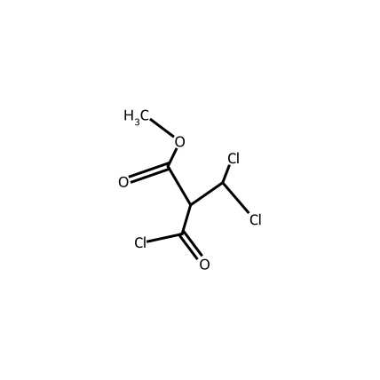 COC(=O)C(C(=O)Cl)C(Cl)Cl